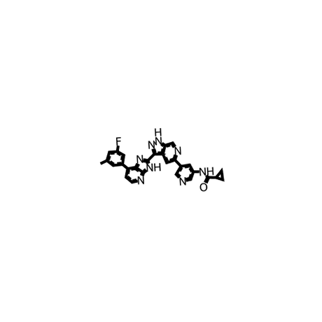 Cc1cc(F)cc(-c2ccnc3[nH]c(-c4n[nH]c5cnc(-c6cncc(NC(=O)C7CC7)c6)cc45)nc23)c1